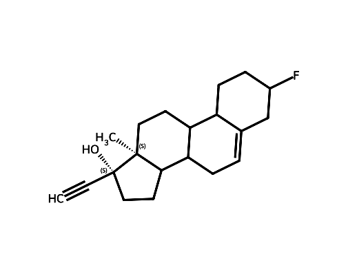 C#C[C@]1(O)CCC2C3CC=C4CC(F)CCC4C3CC[C@@]21C